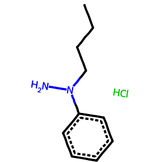 CCCCN(N)c1ccccc1.Cl